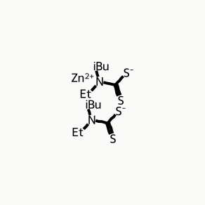 CCC(C)N(CC)C(=S)[S-].CCC(C)N(CC)C(=S)[S-].[Zn+2]